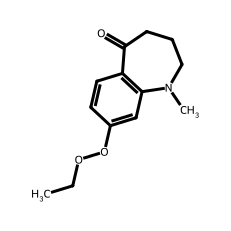 CCOOc1ccc2c(c1)N(C)CCCC2=O